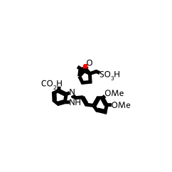 CC1(C)C2CCC1(CS(=O)(=O)O)C(=O)C2.COc1ccc(/C=C/c2nc3c(C(=O)O)cccc3[nH]2)cc1OC